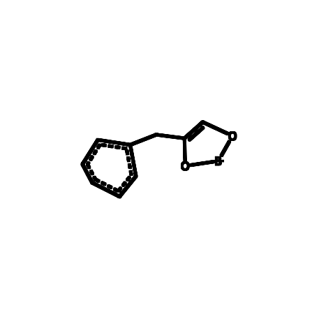 [B]1OC=C(Cc2ccccc2)O1